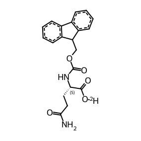 [2H]OC(=O)[C@H](CCC(N)=O)NC(=O)OCC1c2ccccc2-c2ccccc21